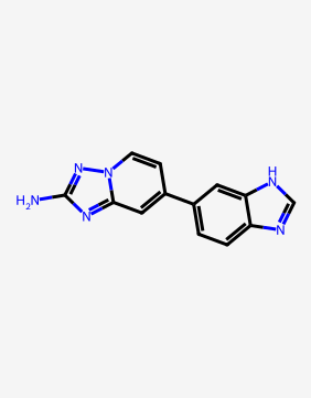 Nc1nc2cc(-c3ccc4nc[nH]c4c3)ccn2n1